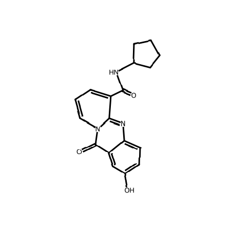 O=C(NC1CCCC1)c1cccn2c(=O)c3cc(O)ccc3nc12